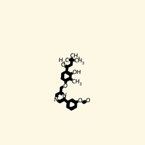 Cc1c(OCc2cncc(-c3cccc(OC=O)c3)n2)ccc(C(=O)CC(C)(C)C)c1O